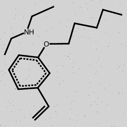 C=Cc1cccc(OCCCCC)c1.CCNCC